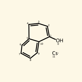 Oc1cccc2ccccc12.[Cs]